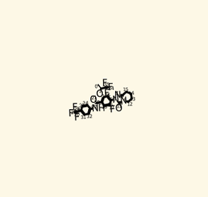 C[C@H](Oc1cc(-n2nc3n(c2=O)CCCC3)c(F)cc1C(=O)Nc1ccc(C(F)(F)F)cc1)C(F)(F)F